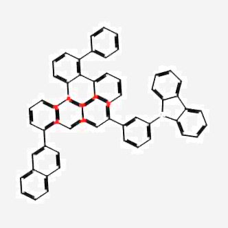 c1ccc(-c2ccccc2-c2c(-c3ccccc3)cccc2N(c2ccc(-c3cccc(-n4c5ccccc5c5ccccc54)c3)cc2)c2cccc(-c3ccc4ccccc4c3)c2)cc1